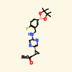 COC(=O)[C@@H]1C[C@H]1c1cnc(NCc2cc(B3OC(C)(C)C(C)(C)O3)ccc2F)cn1